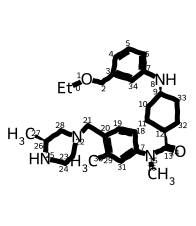 CCOCc1cccc(N[C@H]2CC[C@H](C(=O)N(C)c3ccc(CN4CCN[C@@H](C)C4)c(C)c3)CC2)c1